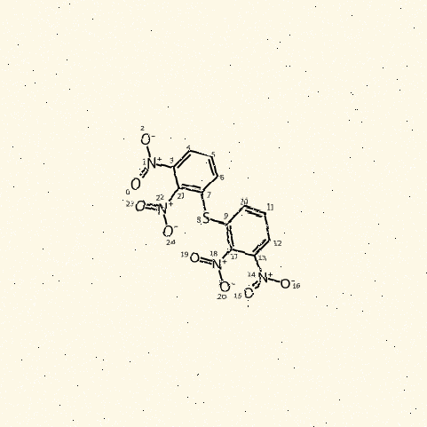 O=[N+]([O-])c1cccc(Sc2cccc([N+](=O)[O-])c2[N+](=O)[O-])c1[N+](=O)[O-]